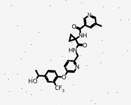 Cc1cncc(C(=O)NC2(C(=O)NCc3ccc(Oc4ccc(C(C)O)cc4C(F)(F)F)cn3)CC2)c1